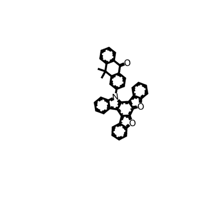 CC1(C)c2ccccc2C(=O)c2ccc(-n3c4ccccc4c4c5c6ccccc6oc5c5oc6ccccc6c5c43)cc21